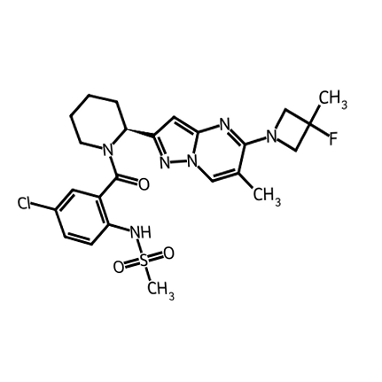 Cc1cn2nc([C@@H]3CCCCN3C(=O)c3cc(Cl)ccc3NS(C)(=O)=O)cc2nc1N1CC(C)(F)C1